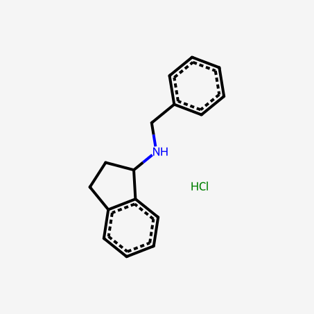 Cl.c1ccc(CNC2CCc3ccccc32)cc1